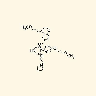 COCCCOc1ccc([C@@H]2[C@@H](OCc3ccc4c(c3)N(CCCOC)CCO4)CNC[C@H]2OCCN2CCCC2)cc1